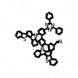 N#Cc1cccc(-c2cc(-c3cc(-c4nc(-c5ccccc5)nc(-c5ccccc5)n4)ccc3-n3c4ccccc4c4c5sc6ccccc6c5ccc43)ccc2-n2c3ccccc3c3c4sc5ccccc5c4ccc32)c1